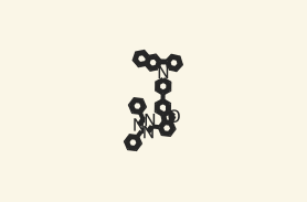 c1ccc(-c2nc(-c3ccccc3)nc(-c3cccc4oc5cc(-c6ccc(-n7c8ccccc8c8cc9ccccc9cc87)cc6)ccc5c34)n2)cc1